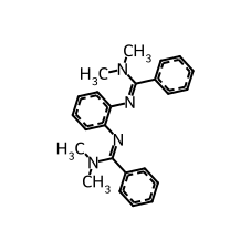 CN(C)C(=Nc1ccccc1N=C(c1ccccc1)N(C)C)c1ccccc1